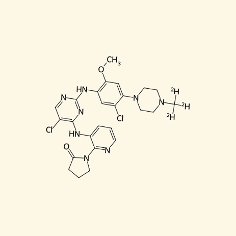 [2H]C([2H])([2H])N1CCN(c2cc(OC)c(Nc3ncc(Cl)c(Nc4cccnc4N4CCCC4=O)n3)cc2Cl)CC1